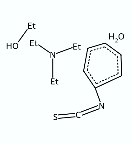 CCN(CC)CC.CCO.O.S=C=Nc1ccccc1